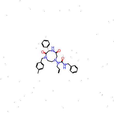 C=CCN(C(=O)NCc1ccccc1)N1CCN(Cc2ccc(C)cc2)C(=O)[C@H](c2ccccc2)NC(=O)C1